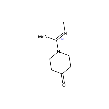 C/N=C(\NC)N1CCC(=O)CC1